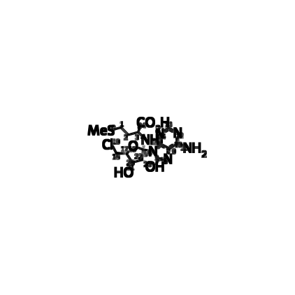 CSCC[C@H](N[C@@]1(n2cnc3c(N)ncnc32)O[C@H](CCl)[C@@H](O)[C@H]1O)C(=O)O